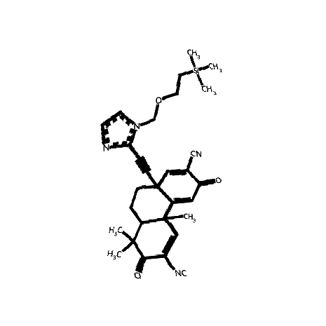 [C-]#[N+]C1=CC2(C)C3=CC(=O)C(C#N)=CC3(C#Cc3nccn3COCC[Si](C)(C)C)CCC2C(C)(C)C1=O